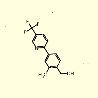 Cc1cc(-c2ccc(C(F)(F)F)cn2)ccc1CO